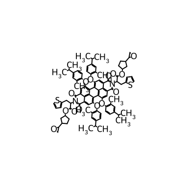 Cc1cc(C(C)C)ccc1Oc1cc2c3c(cc(Oc4ccc(C(C)C)cc4C)c4c5c(Oc6ccc(C(C)C)cc6C)cc6c7c(cc(Oc8ccc(C(C)C)cc8C)c(c1c34)c75)C(=O)N(C(Cc1cccs1)C(=O)OC1CCC(C3CO3)C1)C6=O)C(=O)N(C(Cc1cccs1)C(=O)OC1CCC(C3CO3)C1)C2=O